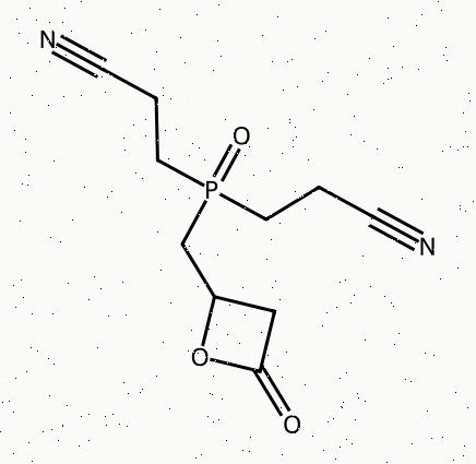 N#CCCP(=O)(CCC#N)CC1CC(=O)O1